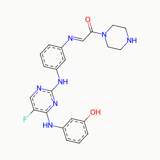 O=C(C=Nc1cccc(Nc2ncc(F)c(Nc3cccc(O)c3)n2)c1)N1CCNCC1